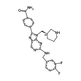 NC(=O)c1ccc(-c2nc3cnc(NCc4ccc(F)c(F)c4)nc3n2C[C@@H]2CCCNC2)cc1